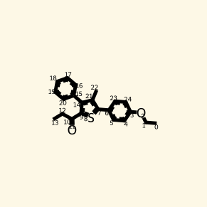 CCOc1ccc(-c2sc(C(=O)CC)c(-c3ccccc3)c2C)cc1